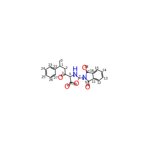 CC(CC(=O)C1NC(N2C(=O)c3ccccc3C2=O)OC1=O)c1ccccc1